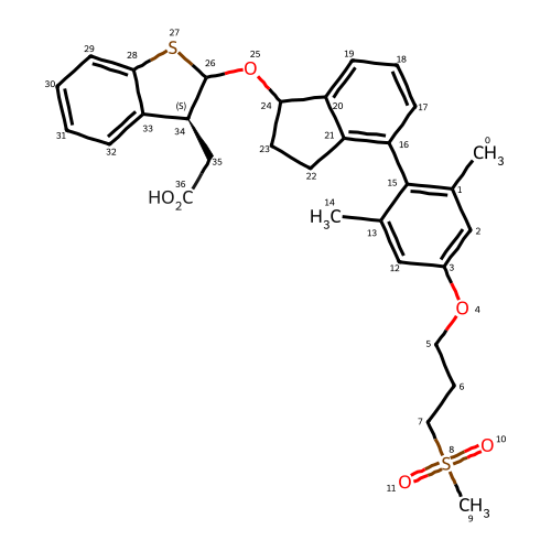 Cc1cc(OCCCS(C)(=O)=O)cc(C)c1-c1cccc2c1CCC2OC1Sc2ccccc2[C@@H]1CC(=O)O